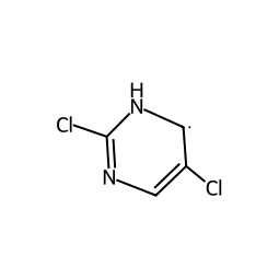 ClC1=CN=C(Cl)N[CH]1